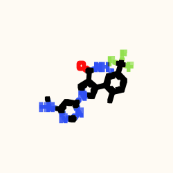 CNc1cc(-n2cc(C(N)=O)c(-c3cc(C(F)(F)F)ccc3C)c2)ncn1